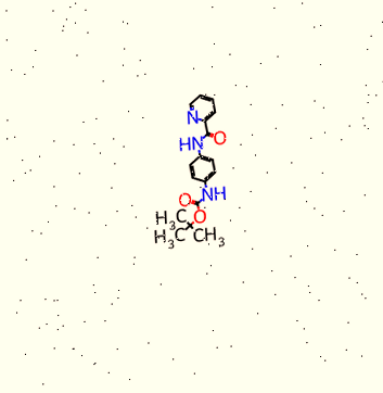 CC(C)(C)OC(=O)Nc1ccc(NC(=O)c2ccccn2)cc1